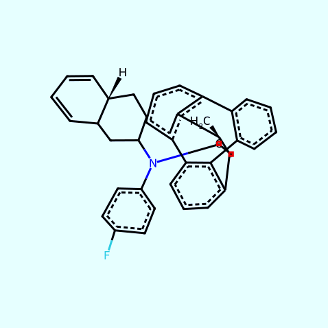 C[C@]12CC(N(c3ccc(F)cc3)C3CC[C@H]4C=CC=CC4C3)CCC1c1cccc3c1-c1ccccc1-c1cccc-3c12